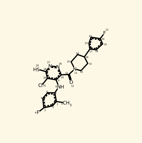 Cc1cc(F)ccc1Nc1c(C(=O)N2CCC(c3ccc(F)cc3)CC2)nnc(S)c1Cl